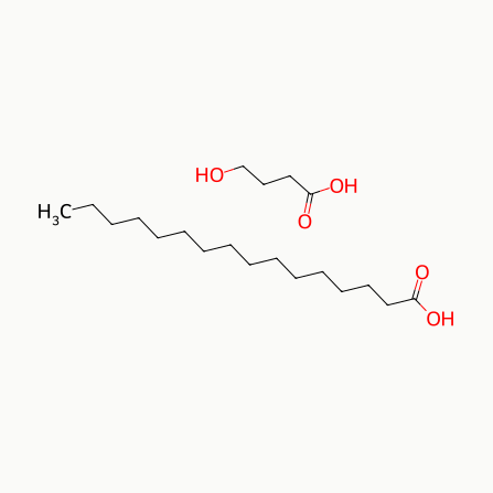 CCCCCCCCCCCCCCCC(=O)O.O=C(O)CCCO